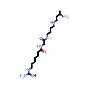 CC(N)CCNCCCCNC(=O)CNC(=O)CCCCCCNC(=N)N